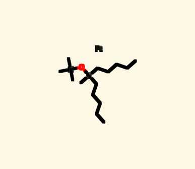 CCCCC[Si](C)(CCCCC)O[Si](C)(C)C.[Pt]